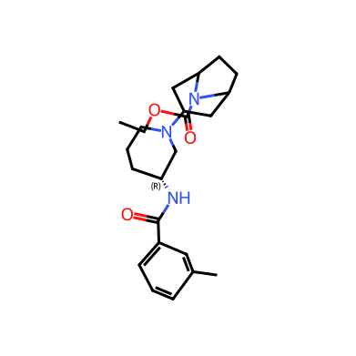 CCOC(=O)N1C2CCC1CC(N1CCC[C@@H](NC(=O)c3cccc(C)c3)C1)C2